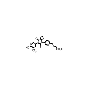 N#Cc1ncc(N2C(=O)C3(CCC3)N(c3ccc(CCCC(=O)O)cc3)C2=S)cc1C(F)(F)F